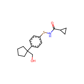 O=C(NSc1ccc(C2(CO)CCCC2)cc1)C1CC1